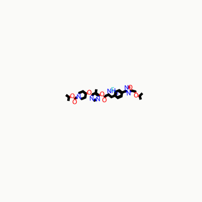 Cc1c(OC(=O)[C@@H](N)Cc2ccc(-c3noc(COC(C)C)n3)cc2F)ncnc1OC1CCN(C(=O)OC(C)C)CC1